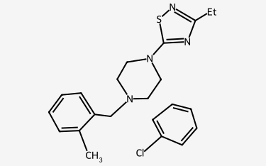 CCc1nsc(N2CCN(Cc3ccccc3C)CC2)n1.Clc1ccccc1